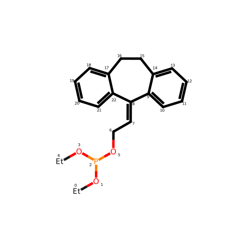 CCOP(OCC)OCC=C1c2ccccc2CCc2ccccc21